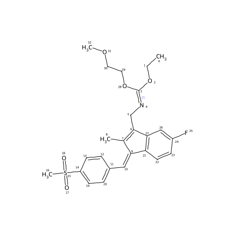 CCO/C(=N/CC1=C(C)C(=Cc2ccc(S(C)(=O)=O)cc2)c2ccc(F)cc21)OCCOC